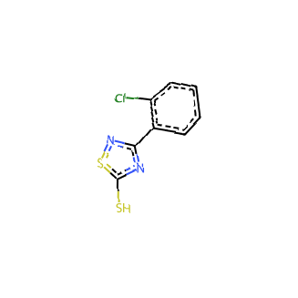 Sc1nc(-c2ccccc2Cl)ns1